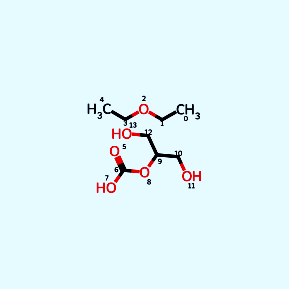 CCOCC.O=C(O)OC(CO)CO